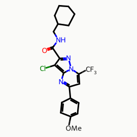 COc1ccc(-c2cc(C(F)(F)F)n3nc(C(=O)NCC4CCCCC4)c(Cl)c3n2)cc1